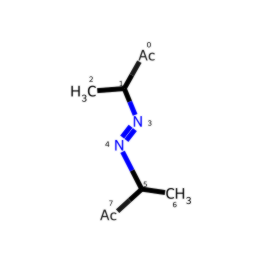 CC(=O)C(C)N=NC(C)C(C)=O